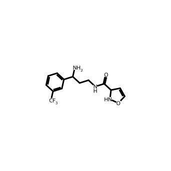 NC(CCNC(=O)C1C=CON1)c1cccc(C(F)(F)F)c1